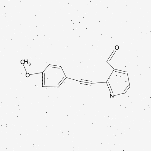 COc1ccc(C#Cc2ncccc2C=O)cc1